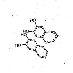 Oc1[c]c2ccccc2cc1O.Oc1[c]c2ccccc2cc1O